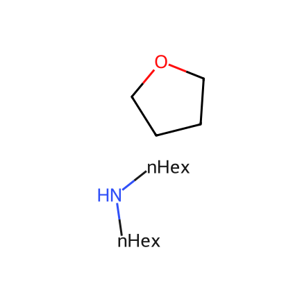 C1CCOC1.CCCCCCNCCCCCC